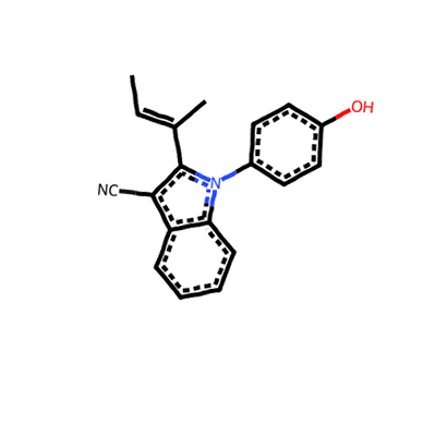 CC=C(C)c1c(C#N)c2ccccc2n1-c1ccc(O)cc1